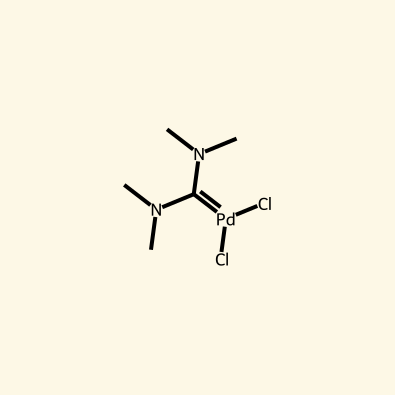 CN(C)[C](N(C)C)=[Pd]([Cl])[Cl]